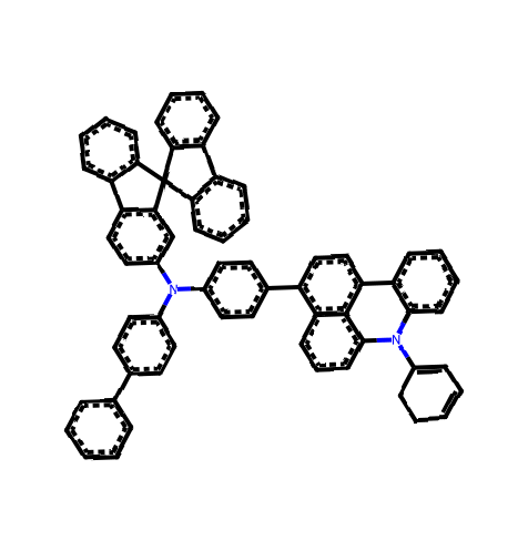 C1=CCCC(N2c3ccccc3-c3ccc(-c4ccc(N(c5ccc(-c6ccccc6)cc5)c5ccc6c(c5)C5(c7ccccc7-c7ccccc75)c5ccccc5-6)cc4)c4cccc2c34)=C1